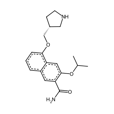 CC(C)Oc1cc2c(OC[C@@H]3CCNC3)cccc2cc1C(N)=O